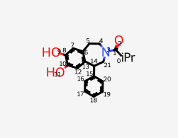 CC(C)C(=O)N1CCc2cc(O)c(O)cc2C(c2ccccc2)C1